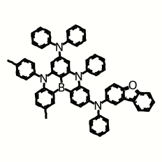 Cc1ccc(N2c3ccc(C)cc3B3c4ccc(N(c5ccccc5)c5ccc6oc7ccccc7c6c5)cc4N(c4ccccc4)c4cc(N(c5ccccc5)c5ccccc5)cc2c43)cc1